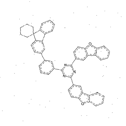 c1cc(-c2ccc3c(c2)-c2ccccc2C32CCCCC2)cc(-c2nc(-c3ccc4oc5ccccc5c4c3)nc(-c3ccc4oc5ccccc5c4c3)n2)c1